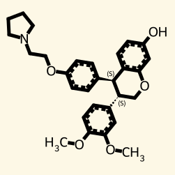 COc1ccc([C@H]2COc3cc(O)ccc3[C@@H]2c2ccc(OCCN3CCCC3)cc2)cc1OC